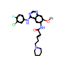 CC(C)Oc1cc2ncnc(Nc3ccc(F)c(Cl)c3)c2cc1NC(=O)/C=C/CCN1CCCCC1